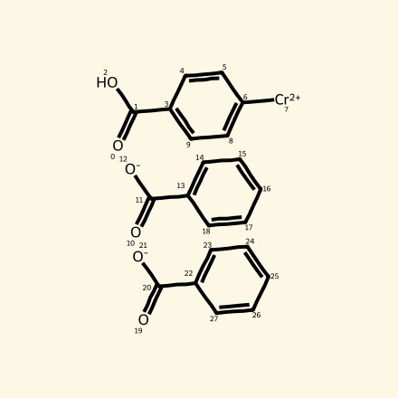 O=C(O)c1cc[c]([Cr+2])cc1.O=C([O-])c1ccccc1.O=C([O-])c1ccccc1